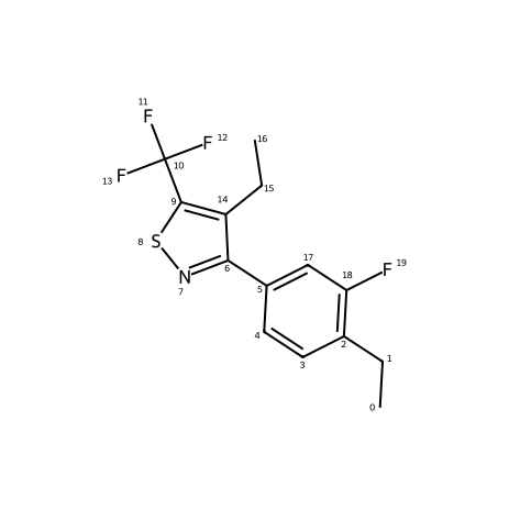 CCc1ccc(-c2nsc(C(F)(F)F)c2CC)cc1F